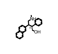 CNCC(c1ccc2ccccc2c1)[C@H](CO)c1ccccc1